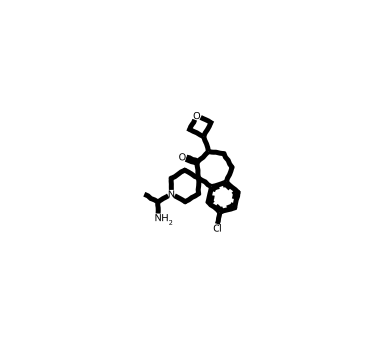 CC(N)N1CCC2(CC1)C(=O)C(C1COC1)CCc1ccc(Cl)cc12